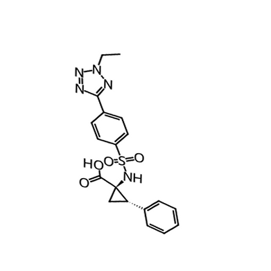 CCn1nnc(-c2ccc(S(=O)(=O)N[C@]3(C(=O)O)C[C@H]3c3ccccc3)cc2)n1